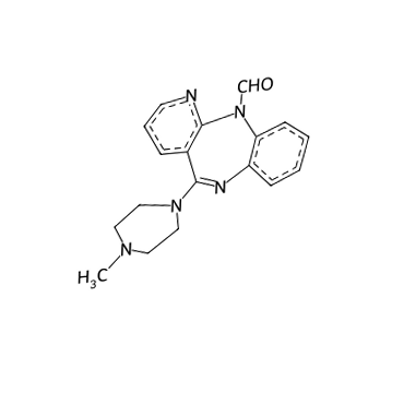 CN1CCN(C2=Nc3ccccc3N(C=O)c3ncccc32)CC1